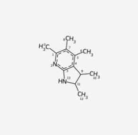 Cc1nc2c(c(C)c1C)C(C)C(C)N2